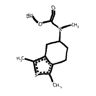 Cc1sc(C)c2c1CCC(N(C)C(=O)OC(C)(C)C)C2